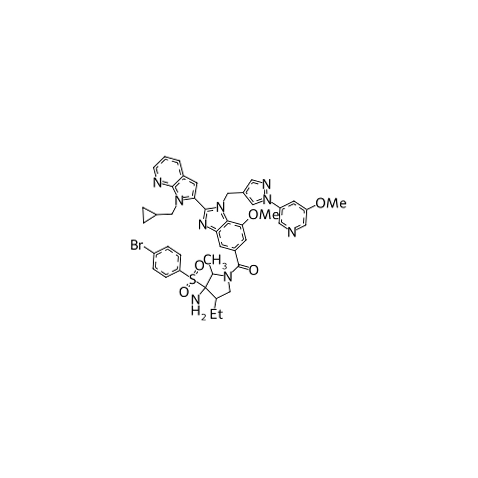 CCC1CN(C(=O)c2cc(OC)c3c(c2)nc(-c2cc4cccnc4n2CC2CC2)n3Cc2cnn(-c3cncc(OC)c3)c2)C(C)C1(N)S(=O)(=O)c1ccc(Br)cc1